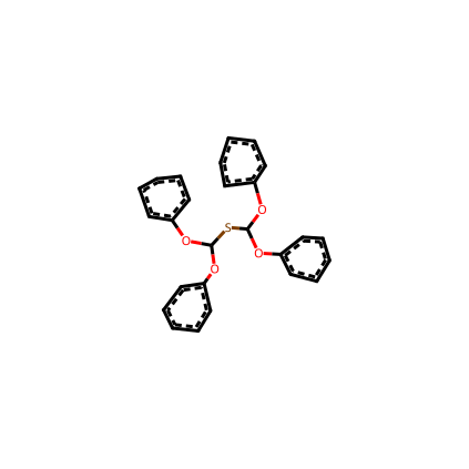 c1ccc(OC(Oc2ccccc2)SC(Oc2ccccc2)Oc2ccccc2)cc1